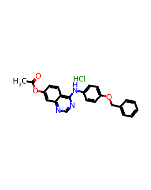 CC(=O)Oc1ccc2c(Nc3ccc(OCc4ccccc4)cc3)ncnc2c1.Cl